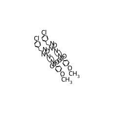 CCOc1ccc(S(=O)(=O)N2CCN(c3nc(Cc4ccc(Cl)cc4)no3)CC2)cc1.CCOc1ccc(S(=O)(=O)N2CCN(c3nc(Cc4ccc(Cl)cc4)no3)CC2)cc1